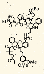 C=CC(=O)OCC(C)(C)C(=O)C(=O)N1CCCC[C@H]1C(=O)O[C@H](CCc1ccc(OC)c(OC)c1)c1cccc(NC(=O)CCC(=O)NC(C(=O)N(C)[C@@H](CC(=O)OC(C)(C)C)C(=O)N2CCC[C@@H]2C(=O)N(C)[C@@H](CC(C)C)C(=O)N(C)CC)c2ccccc2)c1